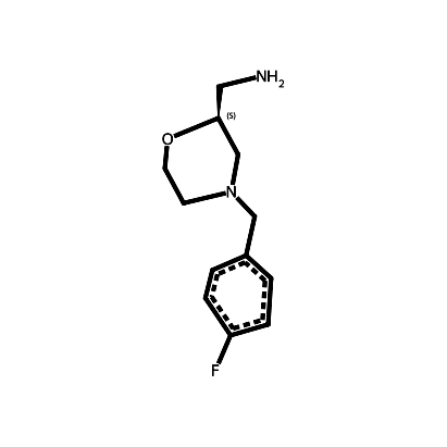 NC[C@H]1CN(Cc2ccc(F)cc2)CCO1